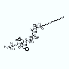 CCCCCCCCCCCCCCCC(=O)NCC(=O)N[C@@H](CO)C(=O)NCC(=O)N[C@@H](CO)C(=O)NCC(=O)NC(Cc1c[nH]cn1)C(=O)N[C@@H](Cc1ccccc1)C(=O)N[C@H](C)CCCNC(=N)N